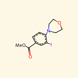 COC(=O)c1ccc(N2CCOCC2)c(I)c1